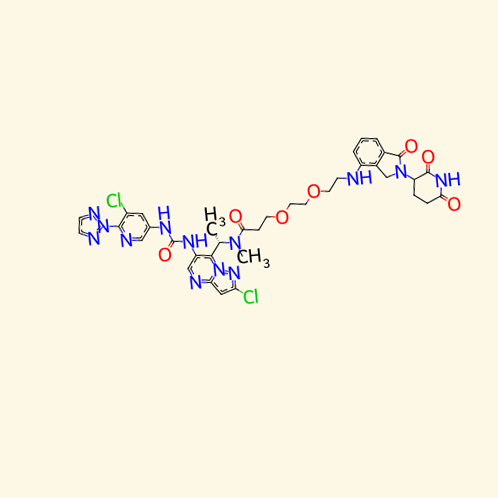 C[C@@H](c1c(NC(=O)Nc2cnc(-n3nccn3)c(Cl)c2)cnc2cc(Cl)nn12)N(C)C(=O)CCOCCOCCNc1cccc2c1CN(C1CCC(=O)NC1=O)C2=O